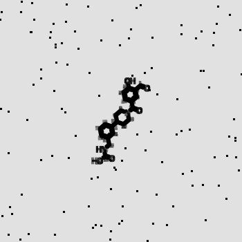 O=Cc1cc(C(=O)N2CCC(c3cccc(CNC(=O)O)c3)CC2)ccc1O